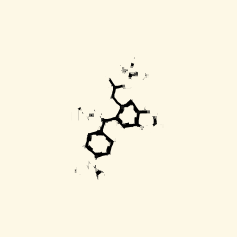 CNN=C(c1ccc([N+](=O)[O-])cc1)c1cc2c(cc1CC(C)OS(C)(=O)=O)OCO2